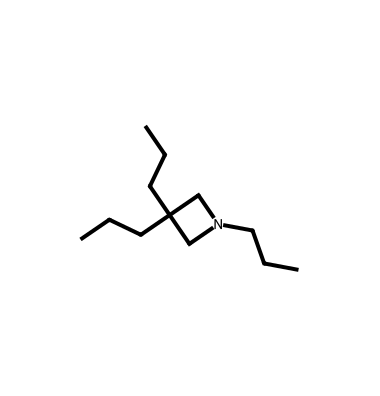 CCCN1CC(CCC)(CCC)C1